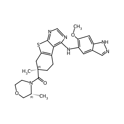 COc1cc2[nH]ncc2cc1Nc1ncnc2sc3c(c12)CC[C@@](C)(C(=O)N1CCOC[C@H]1C)C3